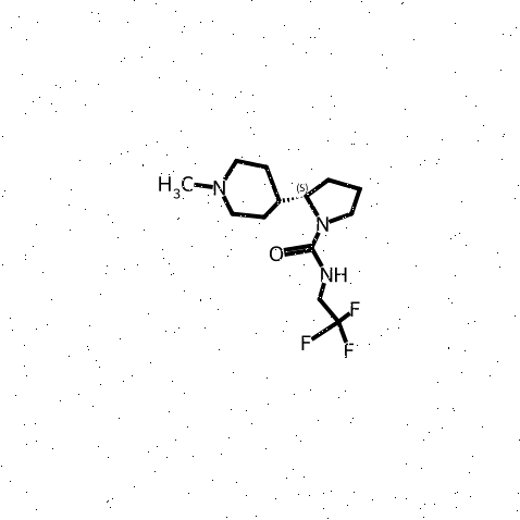 CN1CCC([C@@H]2CCCN2C(=O)NCC(F)(F)F)CC1